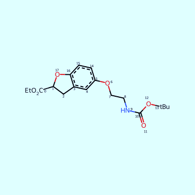 CCOC(=O)C1Cc2cc(OCCNC(=O)OC(C)(C)C)ccc2O1